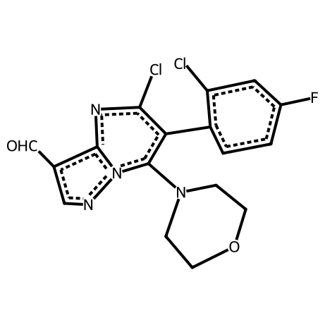 O=Cc1cnn2c(N3CCOCC3)c(-c3ccc(F)cc3Cl)c(Cl)nc12